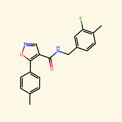 Cc1ccc(-c2oncc2C(=O)NCc2ccc(C)c(F)c2)cc1